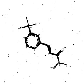 CN(O)C(=O)C=Cc1cccc(C(F)(F)F)c1